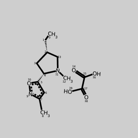 CC[C@H]1C[C@@H](c2cc(C)no2)N(C)C1.O=C(O)C(=O)O